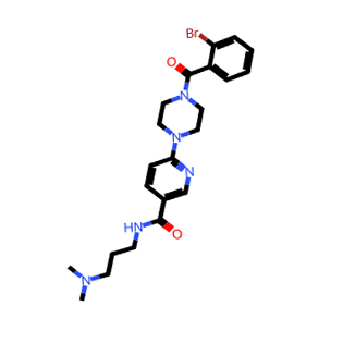 CN(C)CCCNC(=O)c1ccc(N2CCN(C(=O)c3ccccc3Br)CC2)nc1